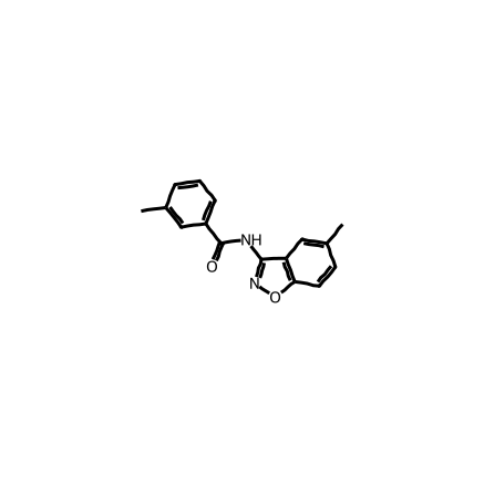 Cc1cccc(C(=O)Nc2noc3ccc(C)cc23)c1